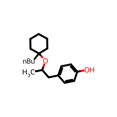 CCCCC1(OC(C)Cc2ccc(O)cc2)CCCCC1